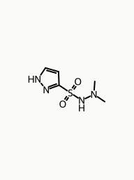 CN(C)NS(=O)(=O)c1cc[nH]n1